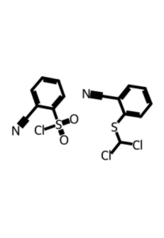 N#Cc1ccccc1S(=O)(=O)Cl.N#Cc1ccccc1SC(Cl)Cl